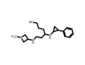 CN1CC(NCCC(CCCC#N)NC2CC2c2ccccc2)C1